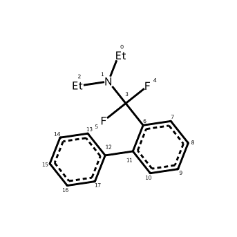 CCN(CC)C(F)(F)c1ccccc1-c1ccccc1